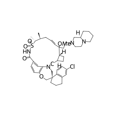 CO[C@]1(CCN2CCN3CCCC[C@@H]3C2)/C=C/C[C@H](C)[C@@H](C)S(=O)(=O)NC(=O)c2ccc3c(c2)N(C[C@@H]2CC[C@H]21)C[C@@]1(CCCc2cc(Cl)ccc21)CO3